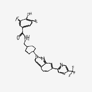 O=C(NCC1CCC(n2cc3ccc(-c4cnc(C(F)(F)F)cn4)cc3n2)CC1)c1cc(F)c(O)c(F)c1